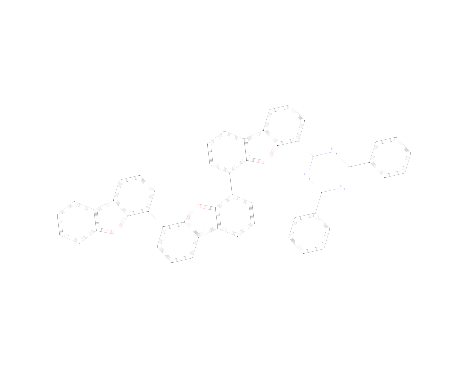 NC(NC(NCc1ccccc1)c1cccc2c1oc1c(-c3cccc4c3oc3c(-c5cccc6c5oc5ccccc56)cccc34)cccc12)c1ccccc1